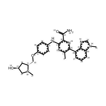 Cc1nc(Nc2ccc(OC[C@H]3C[C@H](O)CN3C)cc2)c(C(N)=O)nc1-c1cccc2c1ncn2C